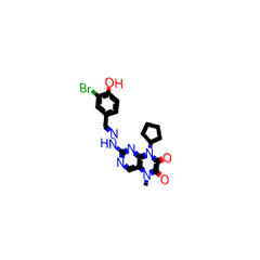 Cn1c(=O)c(=O)n(C2CCCC2)c2nc(NN=Cc3ccc(O)c(Br)c3)ncc21